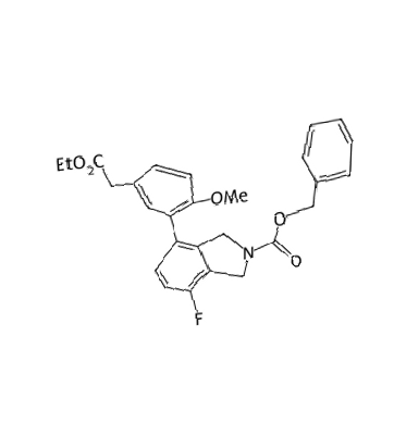 CCOC(=O)Cc1ccc(OC)c(-c2ccc(F)c3c2CN(C(=O)OCc2ccccc2)C3)c1